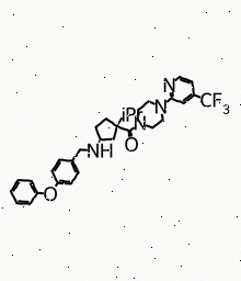 CC(C)[C@]1(C(=O)N2CCN(c3cc(C(F)(F)F)ccn3)CC2)CC[C@@H](NCc2ccc(Oc3ccccc3)cc2)C1